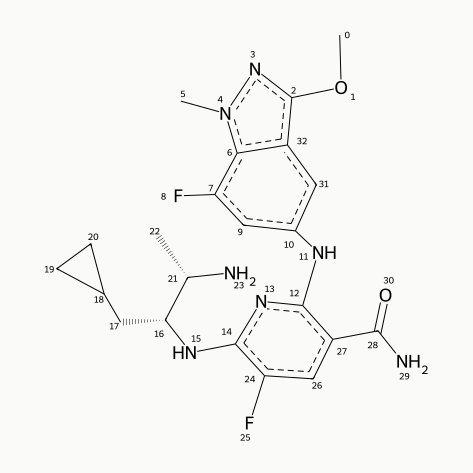 COc1nn(C)c2c(F)cc(Nc3nc(N[C@H](CC4CC4)[C@H](C)N)c(F)cc3C(N)=O)cc12